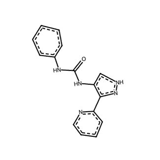 O=C(Nc1ccccc1)Nc1c[nH]nc1-c1ccccn1